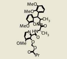 COc1cccc(C(c2cccc(OC)c2OC)C(C)OC(=O)[C@H](C)NC(=O)c2nccc(OC)c2OCOC(=O)C(C)C)c1OC